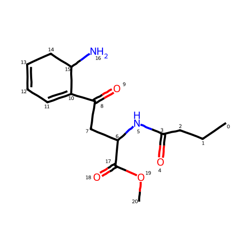 CCCC(=O)NC(CC(=O)C1=CC=CCC1N)C(=O)OC